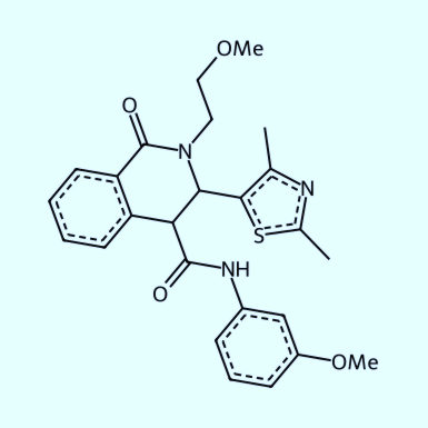 COCCN1C(=O)c2ccccc2C(C(=O)Nc2cccc(OC)c2)C1c1sc(C)nc1C